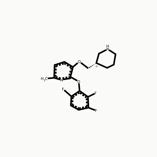 Cc1ccc(OC[C@H]2CCCNC2)c(Oc2c(F)ccc(F)c2F)n1